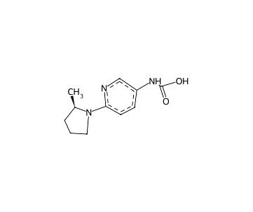 C[C@@H]1CCCN1c1ccc(NC(=O)O)cn1